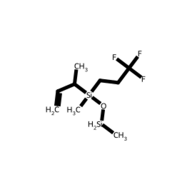 C=CC(C)[Si](C)(CCC(F)(F)F)O[SiH2]C